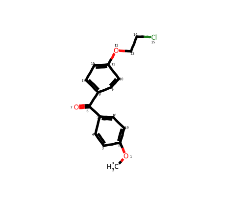 COc1ccc(C(=O)c2ccc(OCCCl)cc2)cc1